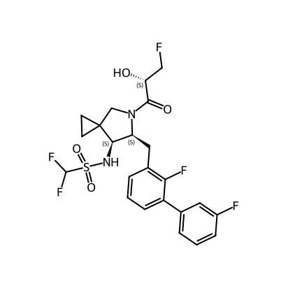 O=C([C@H](O)CF)N1CC2(CC2)[C@H](NS(=O)(=O)C(F)F)[C@@H]1Cc1cccc(-c2cccc(F)c2)c1F